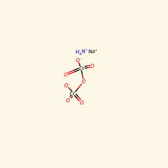 [NH4+].[Na+].[O]=[Cr](=[O])([O-])[O][Cr](=[O])(=[O])[O-]